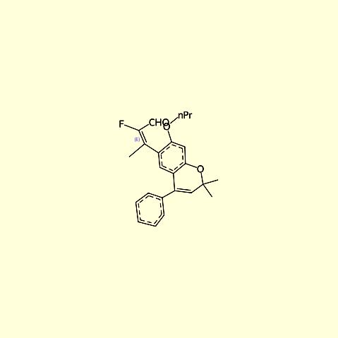 CCCOc1cc2c(cc1/C(C)=C(/F)C=O)C(c1ccccc1)=CC(C)(C)O2